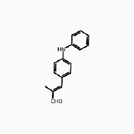 CC(C=O)=Cc1ccc(Nc2ccccc2)cc1